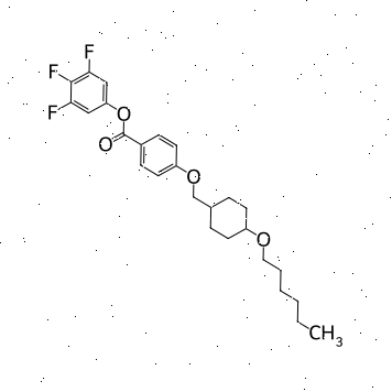 CCCCCCOC1CCC(COc2ccc(C(=O)Oc3cc(F)c(F)c(F)c3)cc2)CC1